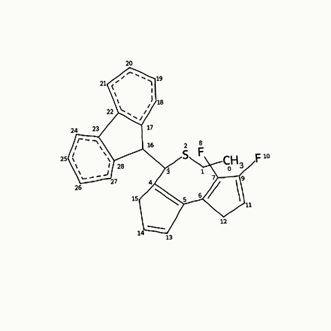 CCS[C](C1=C(C2=C(F)C(F)=CC2)C=CC1)C1c2ccccc2-c2ccccc21